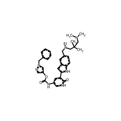 CCN(Cc1ccc2[nH]c(-c3cc(NC(=O)Oc4cnn(Cc5ccccc5)c4)c[nH]c3=O)cc2c1)CC(C)(C)CN(C)C